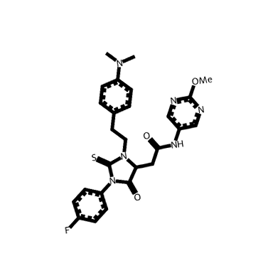 COc1ncc(NC(=O)CC2C(=O)N(c3ccc(F)cc3)C(=S)N2CCc2ccc(N(C)C)cc2)cn1